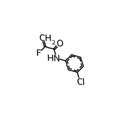 C=C(F)C(=O)Nc1cccc(Cl)c1